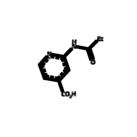 CCC(=O)Nc1cc(C(=O)O)ccn1